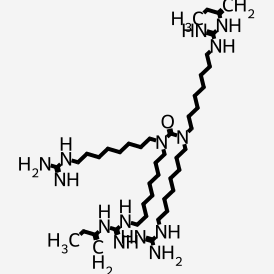 C=C(CC)NC(=N)NCCCCCCCCN(CCCCCCCCNC(=N)N)C(=O)N(CCCCCCCCNC(=N)N)CCCCCCCCNC(=N)NC(=C)CC